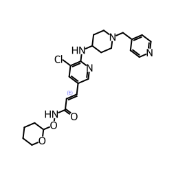 O=C(/C=C/c1cnc(NC2CCN(Cc3ccncc3)CC2)c(Cl)c1)NOC1CCCCO1